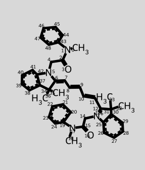 CN(C(=O)CN1/C(=C/C=C/C=C/C2=[N+](CC(=O)N(C)c3ccccc3)c3ccccc3C2(C)C)C(C)(C)c2ccccc21)c1ccccc1